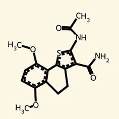 COc1ccc(OC)c2c1CCc1c-2sc(NC(C)=O)c1C(N)=O